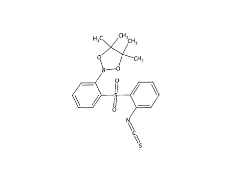 CC1(C)OB(c2ccccc2S(=O)(=O)c2ccccc2N=C=S)OC1(C)C